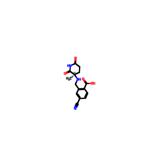 C[C@@]1(NCc2cc(C#N)ccc2C(=O)O)CCC(=O)NC1=O